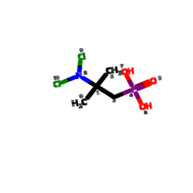 CC(C)(CP(=O)(O)O)N(Cl)Cl